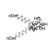 CCCCCCCCCCCCCCCCCCOC(=O)N(CCCCCCCCCCCCCCCCCC)[C@@H]1O[C@H](CO)[C@@H](O)[C@H](O)[C@H]1N